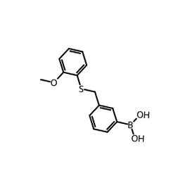 COc1ccccc1SCc1cccc(B(O)O)c1